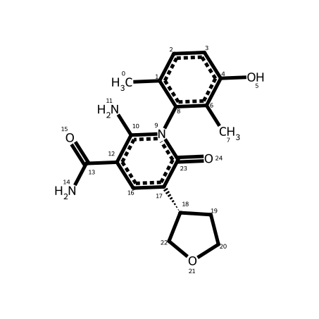 Cc1ccc(O)c(C)c1-n1c(N)c(C(N)=O)cc([C@@H]2CCOC2)c1=O